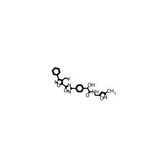 Cc1cc(CNC(=O)C(O)c2ccc(-c3noc(-c4onc(-c5ccccc5)c4CF)n3)cc2)on1